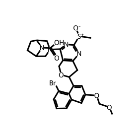 COCOc1cc(C2Cc3nc([S+](C)[O-])nc(N4CC5CCC(C4)N5C(=O)O)c3CO2)c2c(Br)cccc2c1